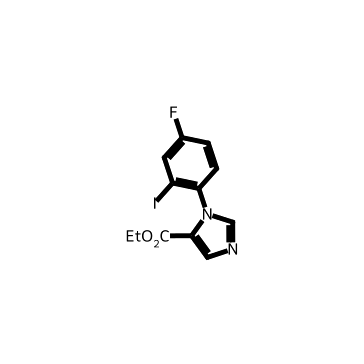 CCOC(=O)c1cncn1-c1ccc(F)cc1I